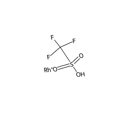 O=S(=O)(O)C(F)(F)F.[Rh+]